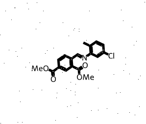 COC(=O)c1ccc(C=Nc2cc(Cl)ccc2C)c(C(=O)OC)c1